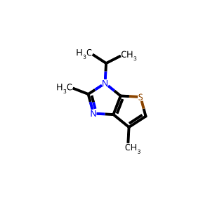 Cc1csc2c1nc(C)n2C(C)C